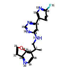 C[C@H](CNc1cc(-c2ccc(F)nc2)ncn1)c1ccnc2ccoc12